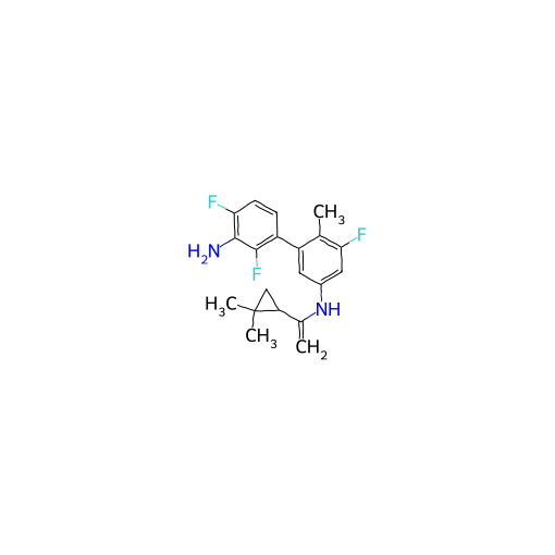 C=C(Nc1cc(F)c(C)c(-c2ccc(F)c(N)c2F)c1)C1CC1(C)C